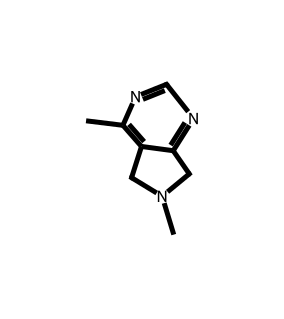 Cc1ncnc2c1CN(C)C2